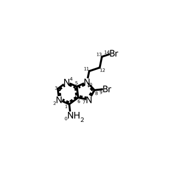 Nc1ncnc2c1nc(Br)n2CCCBr